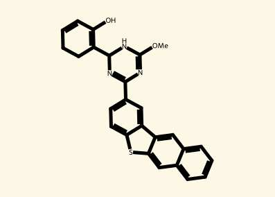 COC1=NC(c2ccc3sc4cc5ccccc5cc4c3c2)=NC(C2=C(O)C=CCC2)N1